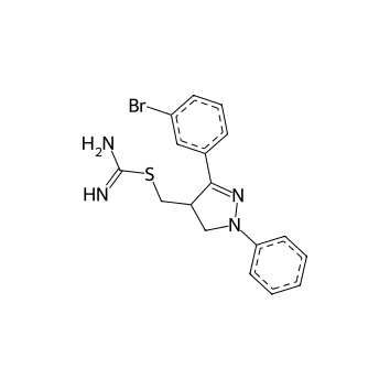 N=C(N)SCC1CN(c2ccccc2)N=C1c1cccc(Br)c1